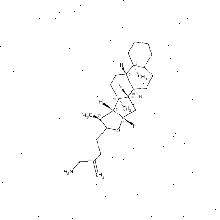 C=C(CN)CCC1O[C@H]2C[C@H]3[C@@H]4CCC5CCCC[C@]5(C)[C@H]4CC[C@]3(C)[C@H]2[C@@H]1C